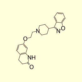 O=C1CCc2ccc(OCCN3CCC(c4noc5ccccc45)CC3)cc2N1